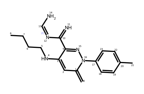 C=C1C=C(NCCCC)C(C(=N)/N=C\N)=NN1c1ccc(C)cc1